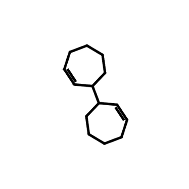 [C]1=[C]C(C2C=CCCCC2)CCCC1